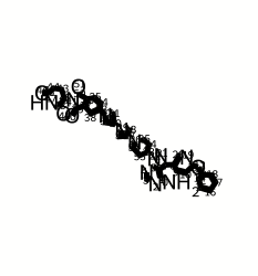 Nc1ncnc2c1c(-c1ccc(Oc3ccccc3)nc1)nn2C1CCN(C2CN(C3CN(c4ccc5c(c4)C(=O)N(C4CCC(=O)NC4=O)C5=O)C3)C2)CC1